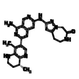 Cc1c(-c2cc3cc(Nc4cc5n(n4)CC(=O)NCC5)ncc3c(N)n2)cnc2c1NCC[C@H]2C